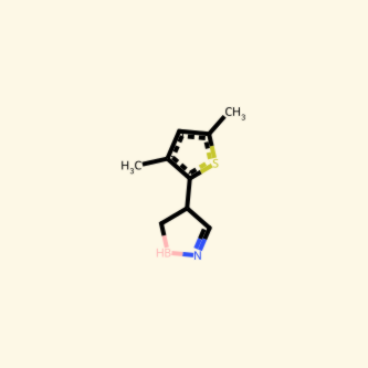 Cc1cc(C)c(C2C=NBC2)s1